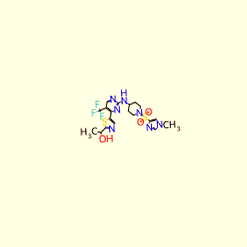 CC(O)c1ncc(-c2nc(NC3CCN(S(=O)(=O)c4cn(C)cn4)CC3)ncc2C(F)(F)F)s1